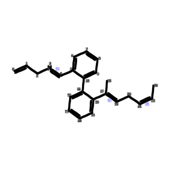 C=CC/N=C/c1ccccc1-c1ccccc1/C(C)=C/C/C=C\C